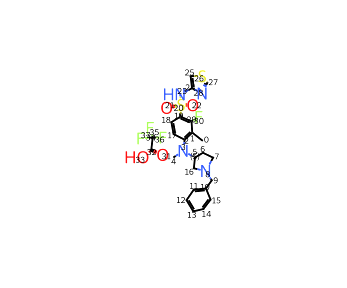 Cc1c(N(C)[C@H]2CCN(Cc3ccccc3)C2)ccc(S(=O)(=O)Nc2cscn2)c1F.O=C(O)C(F)(F)F